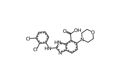 O=C(O)c1c(N2CCOCC2)ccc2nc(Nc3cccc(Cl)c3Cl)[nH]c12